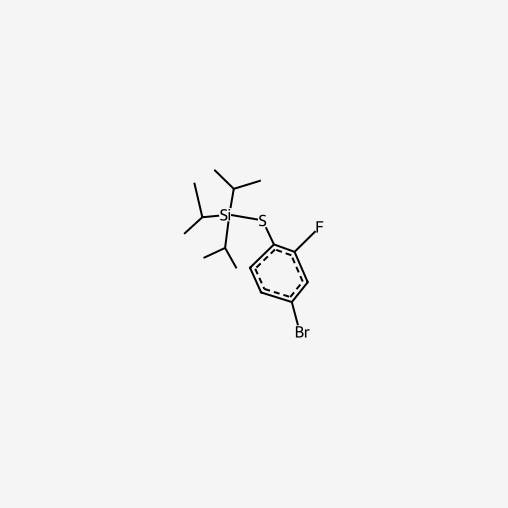 CC(C)[Si](Sc1ccc(Br)cc1F)(C(C)C)C(C)C